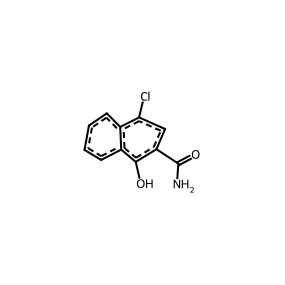 NC(=O)c1cc(Cl)c2ccccc2c1O